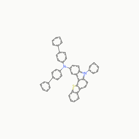 c1ccc(-c2ccc(N(c3ccc(-c4ccccc4)cc3)c3ccc4c(c3)c3c5sc6ccccc6c5ccc3n4-c3ccccc3)cc2)cc1